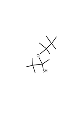 CC(C)(C)C(C)(C)OC(C)(S)C(C)(C)C